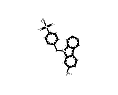 COc1ccc2c3cncnc3n(Cc3ccc(S(N)(=O)=O)cc3)c2c1